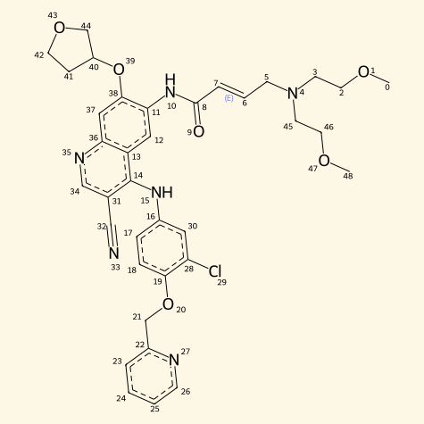 COCCN(C/C=C/C(=O)Nc1cc2c(Nc3ccc(OCc4ccccn4)c(Cl)c3)c(C#N)cnc2cc1OC1CCOC1)CCOC